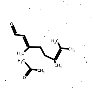 CC(C)=C(C)CC/C(C)=C/C=O.CC(C)=O